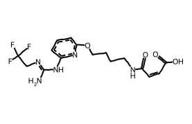 NC(=NCC(F)(F)F)Nc1cccc(OCCCCNC(=O)/C=C\C(=O)O)n1